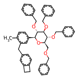 Cc1ccc([C@@H]2O[C@H](COCc3ccccc3)[C@@H](OCc3ccccc3)[C@H](OCc3ccccc3)[C@H]2OCc2ccccc2)cc1Cc1ccc2c(c1)CC2